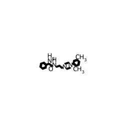 Cc1ccc(C)c(N2CCN(CCCNC(=O)C(N)c3ccccc3)CC2)c1